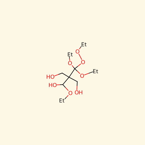 CCOOC(OCC)(OCC)C(CO)(CO)C(O)OCC